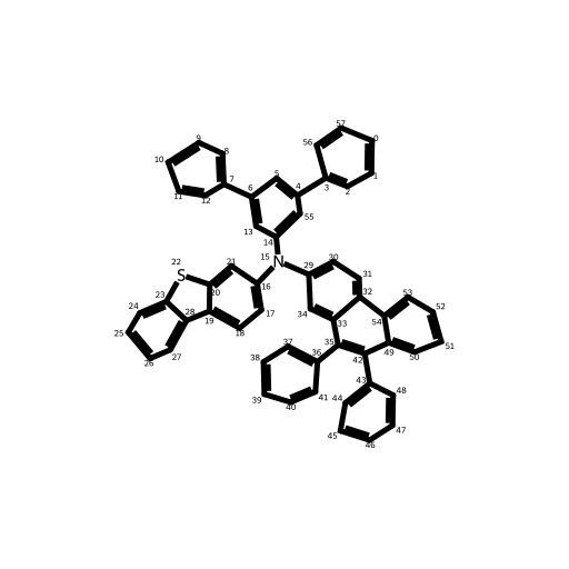 c1ccc(-c2cc(-c3ccccc3)cc(N(c3ccc4c(c3)sc3ccccc34)c3ccc4c(c3)c(-c3ccccc3)c(-c3ccccc3)c3ccccc34)c2)cc1